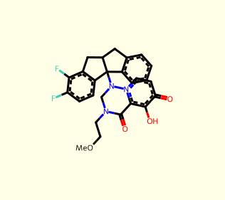 COCCN1CN(C23c4ccccc4CC2Cc2c3ccc(F)c2F)n2ccc(=O)c(O)c2C1=O